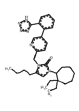 CCCCc1cn(C2CCCCCC2(CC)CC)c(=O)n1Cc1ccc(-c2ccccc2-c2nnn[nH]2)cn1